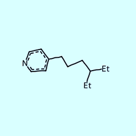 CCC(CC)CCCc1ccncc1